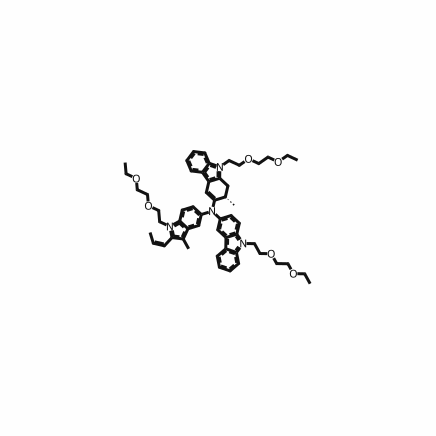 C/C=C\c1c(C)c2cc(N(C3=Cc4c(n(CCOCCOCC)c5ccccc45)C[C@@H]3C)c3ccc4c(c3)c3ccccc3n4CCOCCOCC)ccc2n1CCOCCOCC